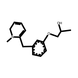 CC(O)COc1cccc(CC2=CC=CCN2C)c1